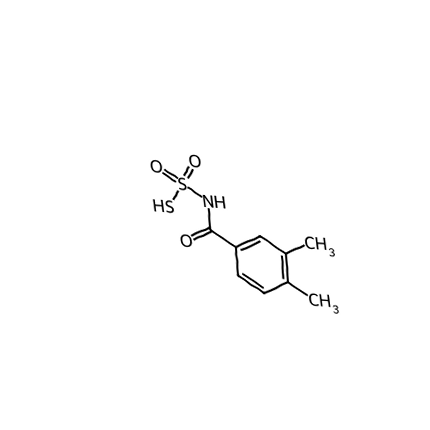 Cc1ccc(C(=O)NS(=O)(=O)S)cc1C